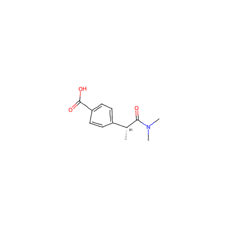 C[C@@H](C(=O)N(C)C)c1ccc(C(=O)O)cc1